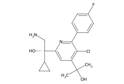 CC(C)(O)c1cc([C@](O)(CN)C2CC2)nc(-c2ccc(F)cc2)c1Cl